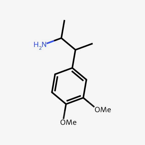 COc1ccc(C(C)C(C)N)cc1OC